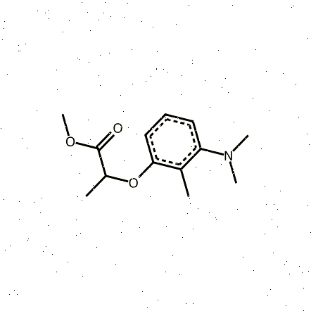 COC(=O)C(C)Oc1cccc(N(C)C)c1C